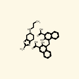 CCCN[C@H]1CCc2nc(N)sc2C1.O=C(O)c1cc2ccccc2c(Cc2c(O)c(C(=O)O)cc3ccccc23)c1O